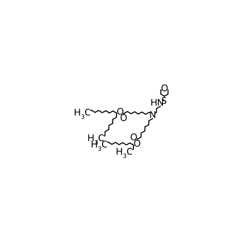 CCCCCCCCC(CC)OC(=O)CCCCCCCN(CCCCCCCC(=O)OC(CCCCCCCC)CCCCCCCC)CCCNSC1CCOCC1